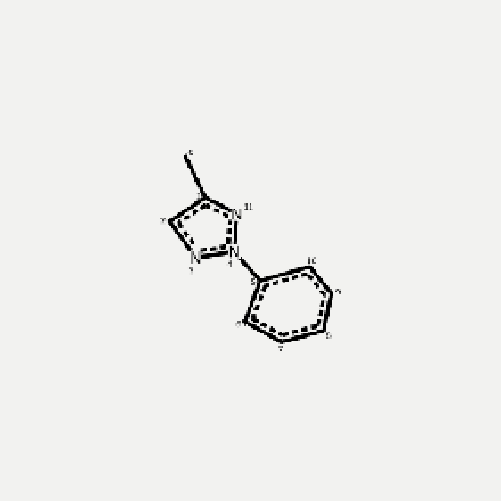 Cc1cnn(-c2[c]cccc2)n1